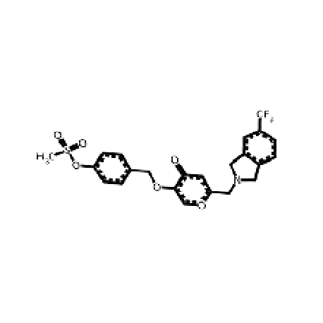 CS(=O)(=O)Oc1ccc(COc2coc(CN3Cc4ccc(C(F)(F)F)cc4C3)cc2=O)cc1